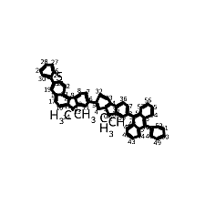 CC1(C)c2cc(-c3ccc4c(c3)C(C)(C)c3ccc5cc6c(cc5c3-4)sc3ccccc36)ccc2-c2ccc(-c3c4ccccc4c(-c4ccccc4)c4ccccc34)cc21